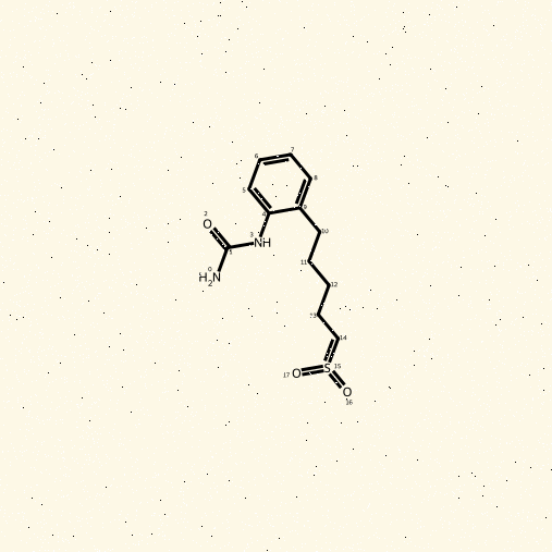 NC(=O)Nc1ccccc1CCCCC=S(=O)=O